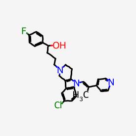 CC(=Cn1c2c(c3cc(Cl)ccc31)CN(CCCC(O)c1ccc(F)cc1)CC2)c1ccncc1